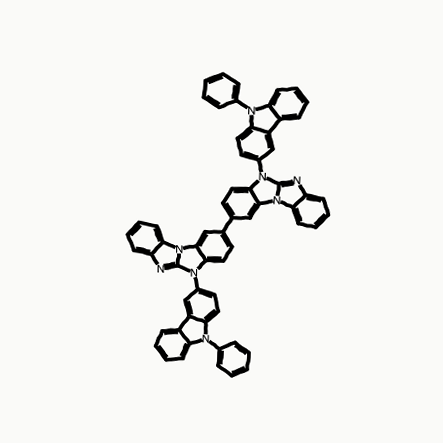 c1ccc(-n2c3ccccc3c3cc(-n4c5ccc(-c6ccc7c(c6)n6c8ccccc8nc6n7-c6ccc7c(c6)c6ccccc6n7-c6ccccc6)cc5n5c6ccccc6nc45)ccc32)cc1